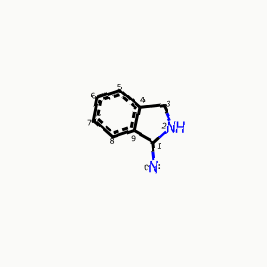 [N]C1NCc2ccccc21